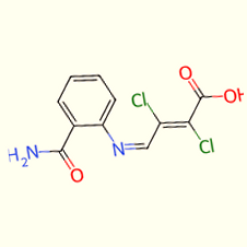 NC(=O)c1ccccc1/N=C\C(Cl)=C(/Cl)C(=O)O